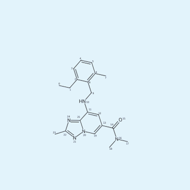 CCc1cccc(C)c1CNc1cc(C(=O)N(C)C)cn2nc(C)nc12